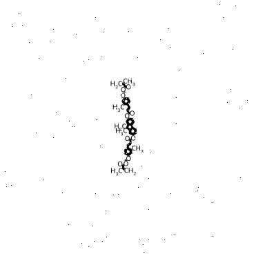 C=C(C)C(=O)OCOc1ccc(C=CC(=O)Oc2ccc3c(c2)C(C)(C)c2cc(OC(=O)C=Cc4ccc(OCOC(=O)C(=C)C)cc4C)ccc2-3)c(C)c1